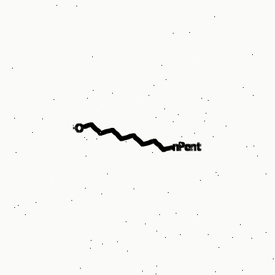 [CH2]CCCCCCCCCCCC[O]